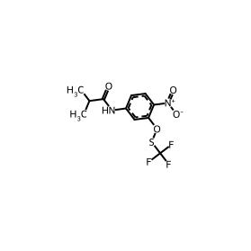 CC(C)C(=O)Nc1ccc([N+](=O)[O-])c(OSC(F)(F)F)c1